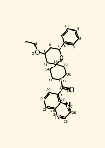 CCOC1CC(c2ccccc2)OC2(CCN(C(=O)c3cccc4nccnc34)CC2)C1